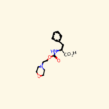 O=C(N[C@@H](Cc1ccccc1)C(=O)O)OCCN1CCOCC1